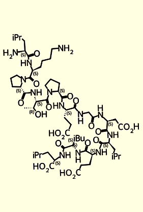 CC[C@H](C)[C@H](NC(=O)[C@H](CCC(=O)O)NC(=O)[C@H](CC(C)C)NC(=O)[C@H](CC(=O)O)NC(=O)CNC(=O)[C@H](CCC(=O)O)NC(=O)[C@@H]1CCCN1C(=O)[C@@H](NC(=O)[C@@H]1CCCN1C(=O)[C@H](CCCCN)NC(=O)[C@@H](N)CC(C)C)[C@@H](C)O)C(=O)N[C@@H](CC(C)C)C(=O)O